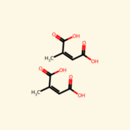 CC(=CC(=O)O)C(=O)O.CC(=CC(=O)O)C(=O)O